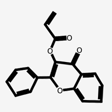 C=CC(=O)Oc1c(-c2ccccc2)oc2ccccc2c1=O